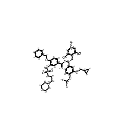 O=C(O[C@@H](Cc1c(Cl)c[n+]([O-])cc1Cl)c1ccc(OC(F)F)c(OCC2CC2)c1)c1ccc(OCc2ccccc2)c(NS(=O)(=O)CCCN2CCOCC2)c1